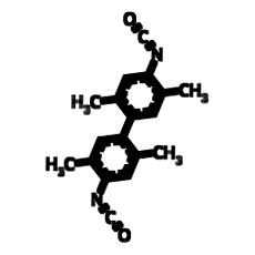 Cc1cc(-c2cc(C)c(N=C=O)cc2C)c(C)cc1N=C=O